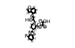 C[C@H]1C[C@@H](c2nc3c(F)cccc3s2)CCN1C[C@H](O)COc1cccc2occc12.O=C(O)C(=O)O